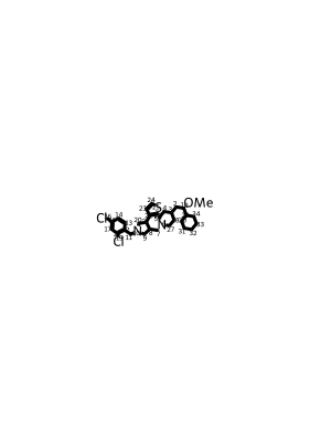 CO[C@@H](CC1CCN(CC2CN(Cc3ccc(Cl)cc3Cl)CC2c2ccsc2)CC1)C1CCCCC1